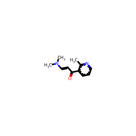 Cc1ncccc1C(=O)/C=C/N(C)C